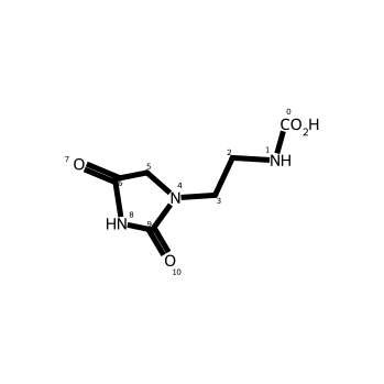 O=C(O)NCCN1CC(=O)NC1=O